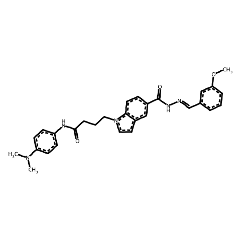 COc1cccc(C=NNC(=O)c2ccc3c(ccn3CCCC(=O)Nc3ccc(N(C)C)cc3)c2)c1